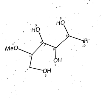 COC(CO)C(O)C(O)C(O)C(C)C